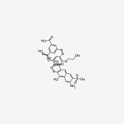 Nc1cc2c(O)c(/N=N\c3cc(OCCO)c(/N=N\c4cc(C(=O)O)cc(C(=O)O)c4)cc3OCCO)c(S(=O)(=O)O)cc2cc1S(=O)(=O)O